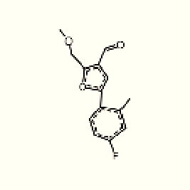 COCc1oc(-c2ccc(F)cc2C)cc1C=O